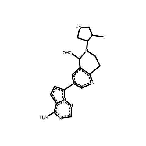 Nc1ncnn2c(-c3cnc4c(c3)C(C=O)N(C3CNCC3F)CC4)ccc12